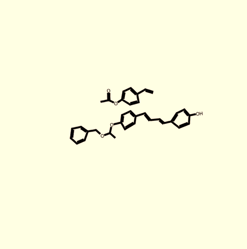 C=Cc1ccc(OC(C)=O)cc1.CC(OCc1ccccc1)Oc1ccc(C=CC=Cc2ccc(O)cc2)cc1